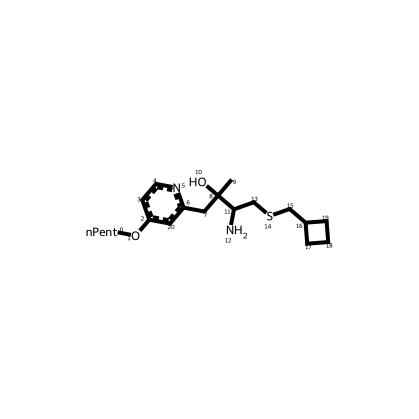 CCCCCOc1ccnc(CC(C)(O)C(N)CSCC2CCC2)c1